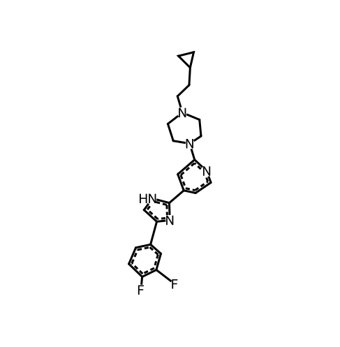 Fc1ccc(-c2c[nH]c(-c3ccnc(N4CCN(CCC5CC5)CC4)c3)n2)cc1F